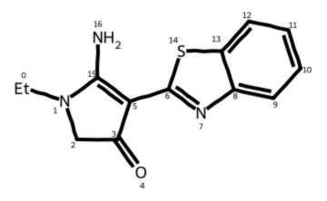 CCN1CC(=O)C(c2nc3ccccc3s2)=C1N